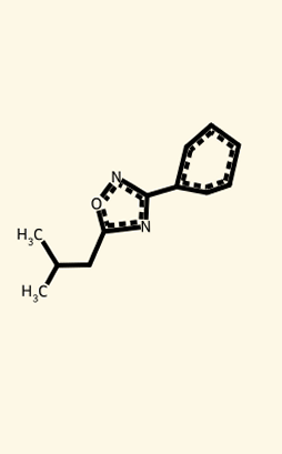 CC(C)Cc1nc(-c2ccccc2)no1